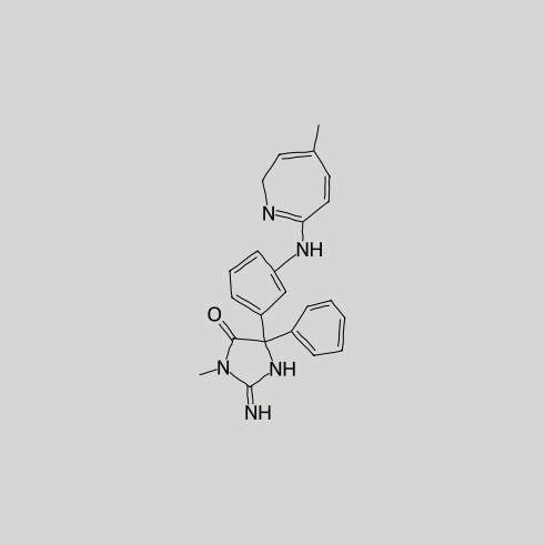 CC1=CCN=C(Nc2cccc(C3(c4ccccc4)NC(=N)N(C)C3=O)c2)C=C1